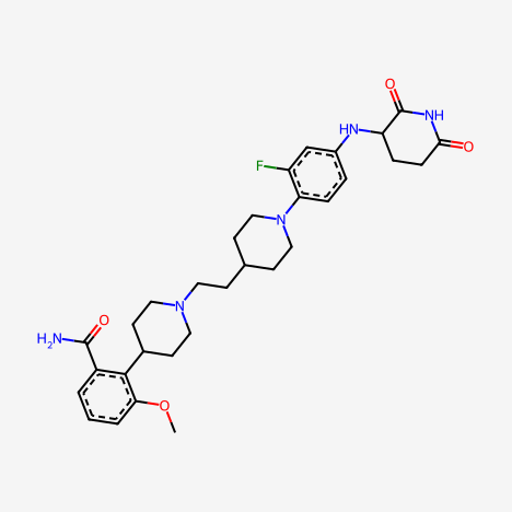 COc1cccc(C(N)=O)c1C1CCN(CCC2CCN(c3ccc(NC4CCC(=O)NC4=O)cc3F)CC2)CC1